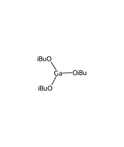 CC(C)C[O][Ga]([O]CC(C)C)[O]CC(C)C